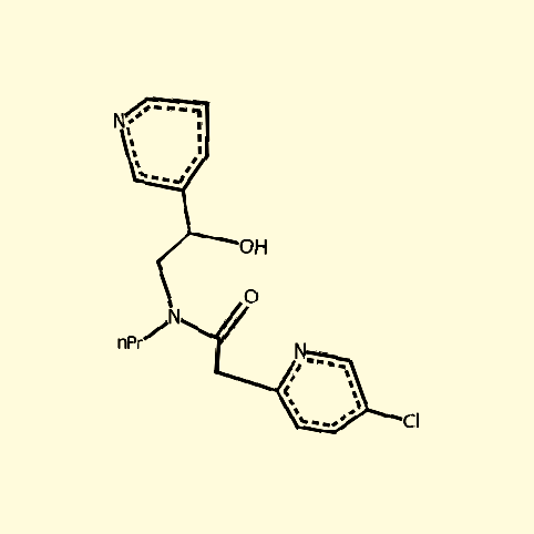 CCCN(CC(O)c1cccnc1)C(=O)Cc1ccc(Cl)cn1